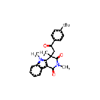 CN1C(=O)c2c(n(C)c3ccccc23)C(C)(CC(=O)c2ccc(C(C)(C)C)cc2)C1=O